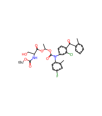 Cc1ccccc1C(=O)c1ccc(N(C(=O)OC(C)OC(=O)C(CO)NC(=O)OC(C)(C)C)c2ccc(F)cc2C)cc1Cl